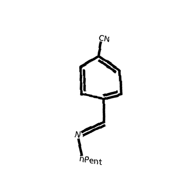 CCCCCN=Cc1ccc(C#N)cc1